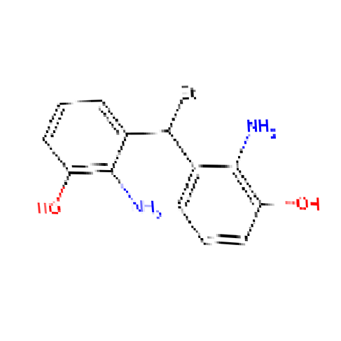 CCC(c1cccc(O)c1N)c1cccc(O)c1N